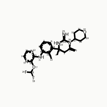 C=C1CC(C)(c2cccc(Nc3nccnc3OC(F)F)c2C)NC(=N)N1C1CCOCC1